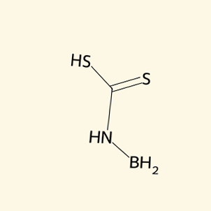 BNC(=S)S